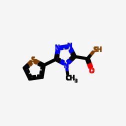 Cn1c(C(=O)S)nnc1-c1cccs1